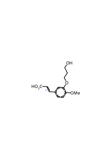 COc1ccc(/C=C/C(=O)O)cc1OCCCO